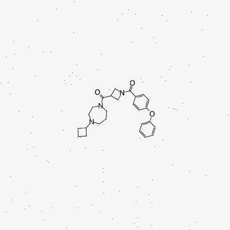 O=C(c1ccc(Oc2ccccc2)cc1)N1CC(C(=O)N2CCCN(C3CCC3)CC2)C1